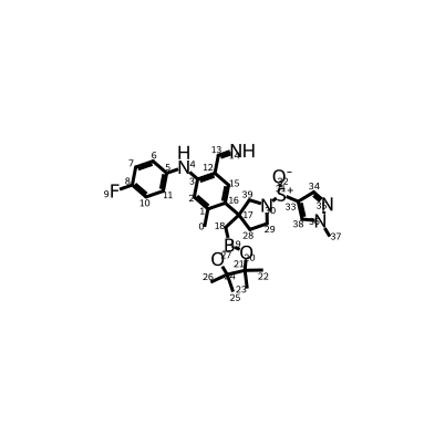 Cc1cc(Nc2ccc(F)cc2)c(C=N)cc1C1(CB2OC(C)(C)C(C)(C)O2)CCN([S+]([O-])c2cnn(C)c2)C1